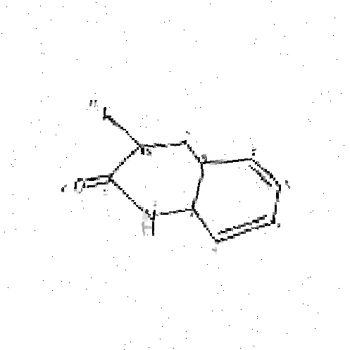 O=C1NC2C=CC=CC2CC1I